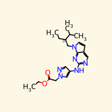 CCOC(=O)Cn1cc(Nc2ncc3ccn(C[C@@H](CC)C(C)C)c3n2)cn1